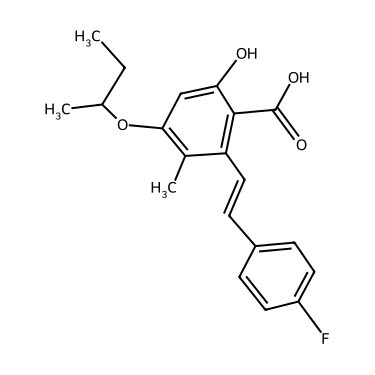 CCC(C)Oc1cc(O)c(C(=O)O)c(C=Cc2ccc(F)cc2)c1C